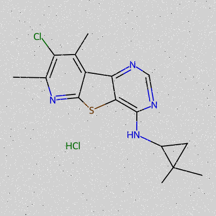 Cc1nc2sc3c(NC4CC4(C)C)ncnc3c2c(C)c1Cl.Cl